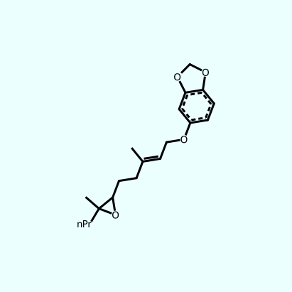 CCCC1(C)OC1CC/C(C)=C/COc1ccc2c(c1)OCO2